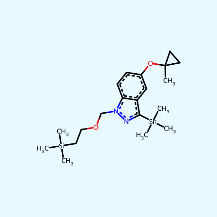 CC1(Oc2ccc3c(c2)[c]([Sn]([CH3])([CH3])[CH3])nn3COCC[Si](C)(C)C)CC1